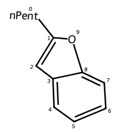 CCCCCc1cc2ccccc2o1